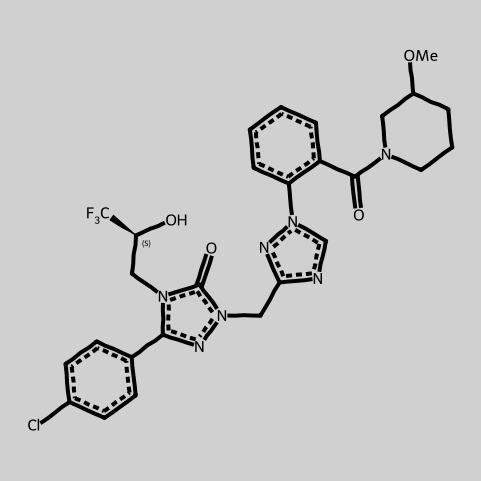 COC1CCCN(C(=O)c2ccccc2-n2cnc(Cn3nc(-c4ccc(Cl)cc4)n(C[C@H](O)C(F)(F)F)c3=O)n2)C1